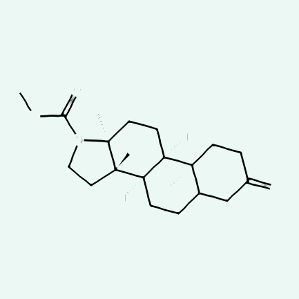 COC(=O)N1CC[C@H]2[C@@H]3CCC4CC(=O)CC[C@]4(C)[C@@H]3CC[C@@]21C